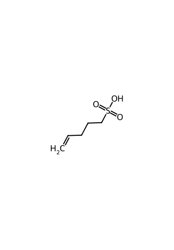 C=CCCCS(=O)(=O)O